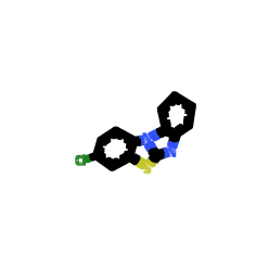 Clc1ccc2c(c1)sc1nc3ccccc3n12